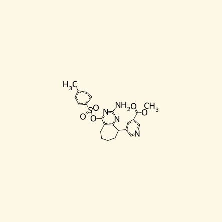 COC(=O)c1cncc(C2CCCCc3c(OS(=O)(=O)c4ccc(C)cc4)nc(N)nc32)c1